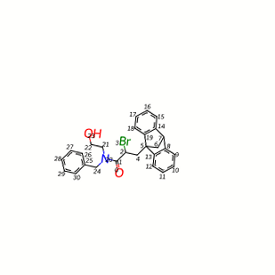 O=C(C(Br)CC12CC(c3ccccc31)c1ccccc12)N(CCO)Cc1ccccc1